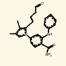 Cc1cn(-c2ccc(C(N)=O)c(Nc3ccccc3)c2)c(CCCC=O)c1C